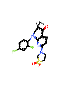 Cc1cn(-c2ccc(F)cc2F)c2nc(N3CCS(=O)(=O)C3)ccc2c1=O